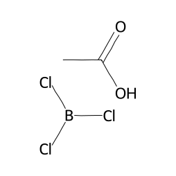 CC(=O)O.ClB(Cl)Cl